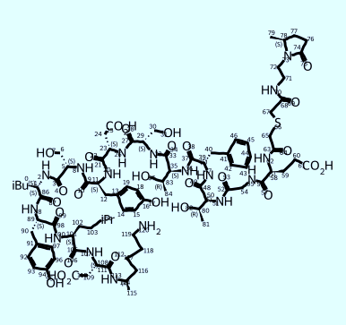 CC[C@H](C)[C@H](NC(=O)[C@H](CO)NC(=O)[C@H](Cc1ccc(O)cc1)NC(=O)[C@H](CC(=O)O)NC(=O)[C@H](CO)NC(=O)[C@@H](NC(=O)[C@H](Cc1ccccc1)NC(=O)[C@@H](NC(=O)CNC(=O)[C@H](CCC(=O)O)NC(=O)CSCC(=O)NCCN1C(=O)CC[C@@H]1C)[C@@H](C)O)[C@@H](C)O)C(=O)N[C@@H](Cc1ccc(O)cc1)C(=O)N[C@@H](CCC(C)C)C(=O)N[C@@H](CC(=O)O)C(=O)N[C@H](C)CCCCN